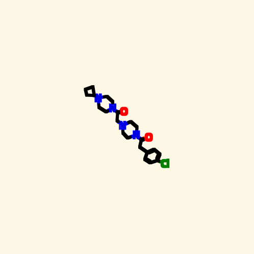 O=C(Cc1ccc(Cl)cc1)N1CCN(CC(=O)N2CCN(C3CCC3)CC2)CC1